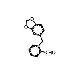 O=Cc1ccccc1Cc1ccc2c(c1)OCO2